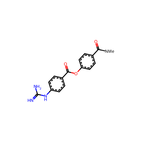 CNC(=O)c1ccc(OC(=O)c2ccc(NC(=N)N)cc2)cc1